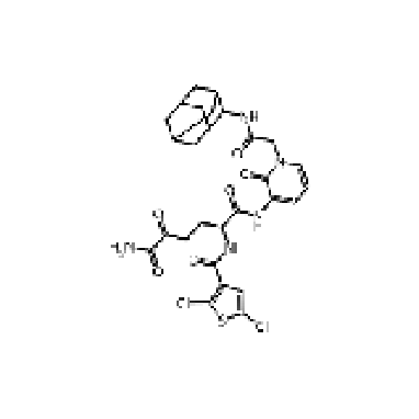 NC(=O)C(=O)CC[C@H](NC(=O)c1cc(Cl)sc1Cl)C(=O)Nc1cccn(CC(=O)NC2C3CC4CC(C3)CC2C4)c1=O